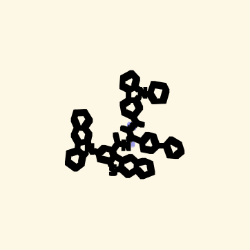 CC(/C(=N\C(C)c1cc(-n2c3ccccc3c3cc4ccccc4cc32)cc2sc3cc4ccccc4cc3c12)c1ccc(-c2ccccc2)cc1)=C(/C)c1ccc2c3ccccc3n(-c3ccccc3)c2c1